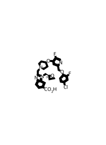 O=C(O)c1ccc2nc(CN3CCC(Oc4cc(COc5ccc(Cl)cc5F)ncc4F)CC3)n(C[C@@H]3CCO3)c2c1